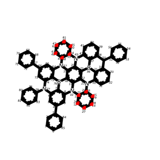 c1ccc(-c2cc3c4c(c2)N(c2ccccc2)c2c5c(c6c7c2N(c2ccccc2)c2cccc8c2B7c2c(cccc2N6c2ccccc2)C8c2ccccc2)N(c2ccccc2)c2cc(-c6ccccc6)cc(c2B45)N3c2ccccc2)cc1